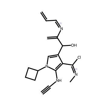 C#CNc1c(/C(Cl)=N\C)c(C(O)C(=C)/N=C\C=C)cn1C1CCC1